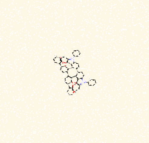 c1ccc(-n2c3ccccc3c3c4c(ccc32)-c2ccc3c(c2-c2c(ccc5c2oc2ccccc25)-c2ccc5c(oc6ccccc65)c2-4)c2ccccc2n3-c2ccccc2)cc1